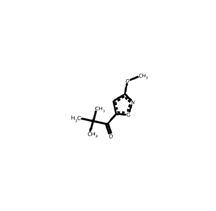 COc1cc(C(=O)C(C)(C)C)on1